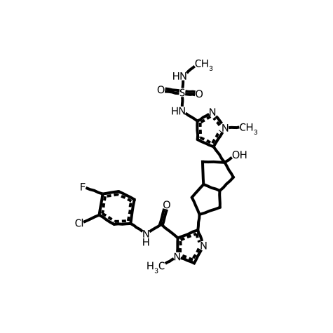 CNS(=O)(=O)Nc1cc(C2(O)CC3CC(c4ncn(C)c4C(=O)Nc4ccc(F)c(Cl)c4)CC3C2)n(C)n1